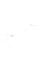 CC(O)CSc1cccs1